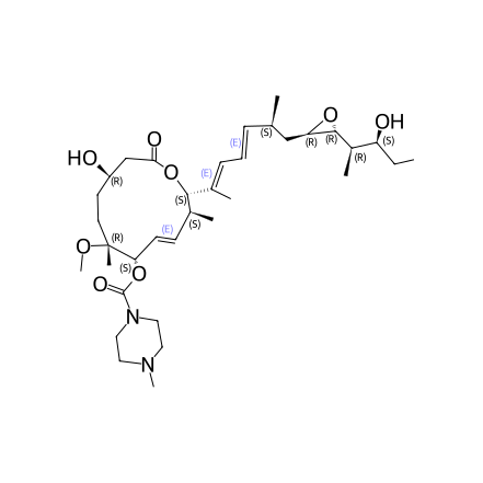 CC[C@H](O)[C@@H](C)[C@H]1O[C@@H]1C[C@H](C)/C=C/C=C(\C)[C@H]1OC(=O)C[C@H](O)CC[C@@](C)(OC)[C@@H](OC(=O)N2CCN(C)CC2)/C=C/[C@@H]1C